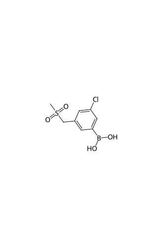 CS(=O)(=O)Cc1cc(Cl)cc(B(O)O)c1